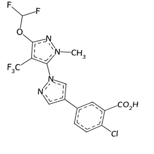 Cn1nc(OC(F)F)c(C(F)(F)F)c1-n1cc(-c2ccc(Cl)c(C(=O)O)c2)cn1